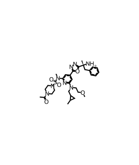 COCCN(CC1CC1C)c1cc(-c2nnc([C@](C)(N)Cc3ccccc3)o2)cc(N(C)S(=O)(=O)N2CCN(C(C)=O)CC2)n1